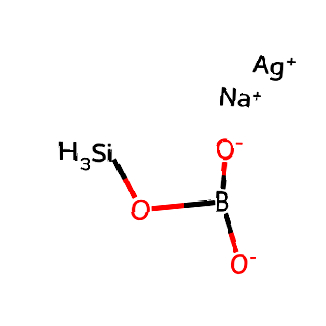 [Ag+].[Na+].[O-]B([O-])O[SiH3]